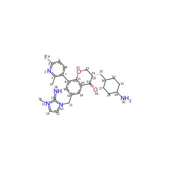 Cc1nc(F)ccc1-c1cc(Cn2ccn(C)c2=N)cc2c1OC[C@H](CC1CCC(N)CC1)C2=O